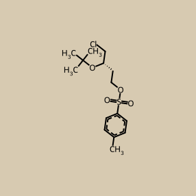 Cc1ccc(S(=O)(=O)OCC[C@@H](CCl)OC(C)(C)C)cc1